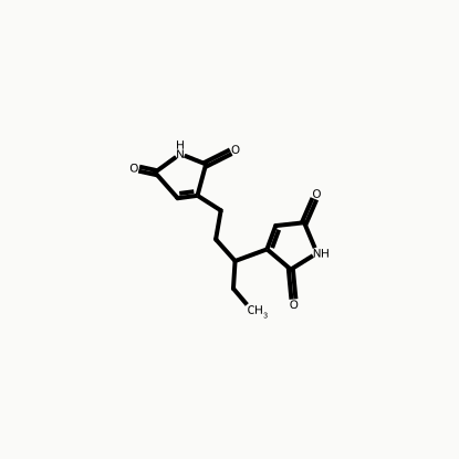 CCC(CCC1=CC(=O)NC1=O)C1=CC(=O)NC1=O